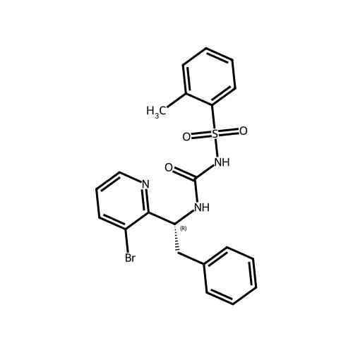 Cc1ccccc1S(=O)(=O)NC(=O)N[C@H](Cc1ccccc1)c1ncccc1Br